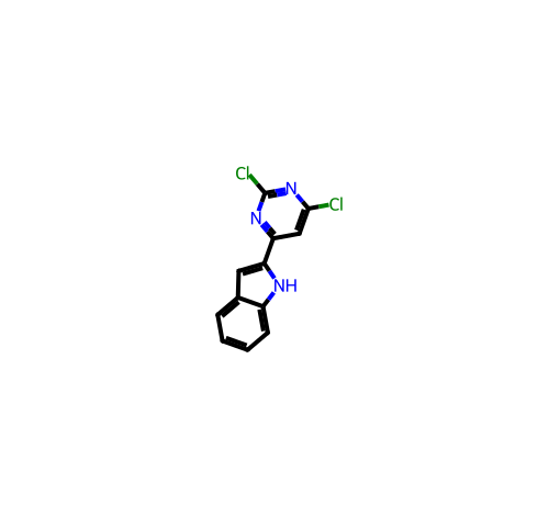 Clc1cc(-c2cc3ccccc3[nH]2)nc(Cl)n1